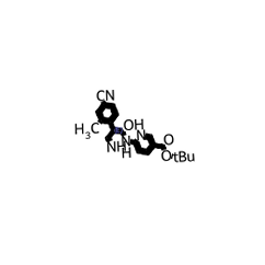 Cc1cc(C#N)ccc1/C(C=N)=C(\O)Nc1ccc(C(=O)OC(C)(C)C)cn1